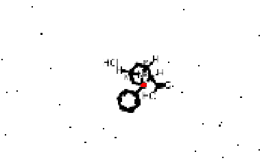 Cl.O=C(O)[C@H]1OC[C@@H]2C[C@H]1N2Cc1ccccc1